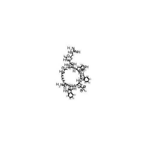 CC(=O)N[C@@H](CCCNC(=N)N)C(O)N[C@H]1CC(=O)NCCCC[C@@H](C(N)=O)NC(=O)[C@H](Cc2c[nH]c3ccccc23)NC(=O)[C@H](CCS(C)(=O)=O)NC(=O)[C@@H](Cc2ccccc2)NC(O)[C@H](Cc2c[nH]cn2)NC1=O